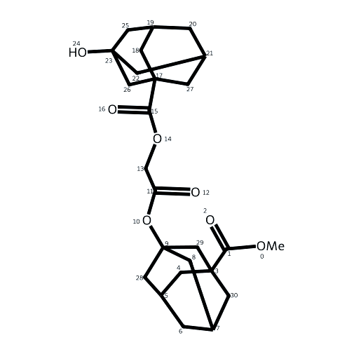 COC(=O)C12CC3CC(CC(OC(=O)COC(=O)C45CC6CC(CC(O)(C6)C4)C5)(C3)C1)C2